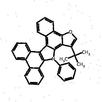 CC(C)(C)c1coc2c3ccccc3c3c4c5ccccc5c5ccccc5c4n(-c4ccccc4)c3c12